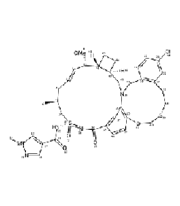 CO[C@H]1/C=C/C[C@H](C)C[S@@](=O)(NC(=O)c2cnn(C)c2)=NC(=O)c2ccc3c(c2)N(Cc2ccc(Cl)cc2CCSCO3)C[C@@H]2CC[C@H]21